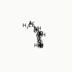 CC(=O)[C@@H](C)CCCCNC(=O)CCCS(=O)(=O)NC(=O)COc1ccc(-c2nnn[nH]2)cc1